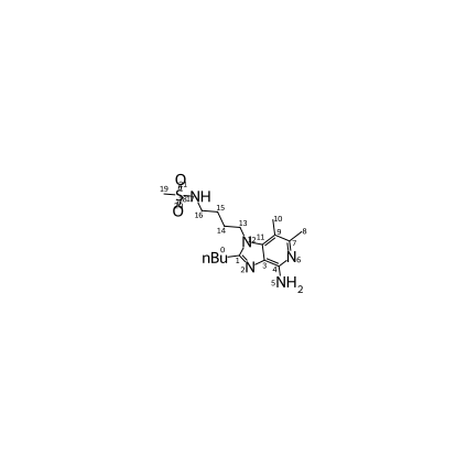 CCCCc1nc2c(N)nc(C)c(C)c2n1CCCCNS(C)(=O)=O